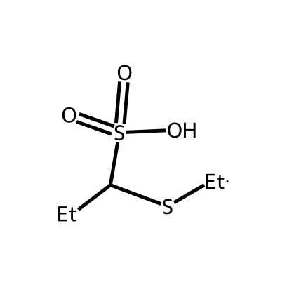 C[CH]SC(CC)S(=O)(=O)O